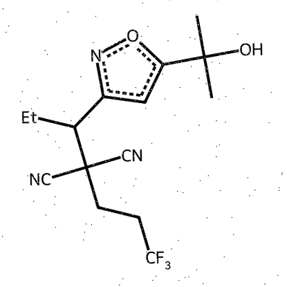 CCC(c1cc(C(C)(C)O)on1)C(C#N)(C#N)CCC(F)(F)F